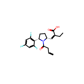 C=CCC(=O)N1[C@@H](C=C(CC)C(=O)O)CC[C@H]1c1c(F)cc(F)cc1F